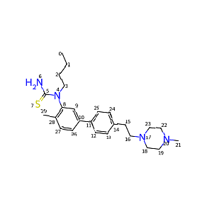 CCCCN(C(N)=S)c1cc(-c2ccc(CCN3CCN(C)CC3)cc2)ccc1C